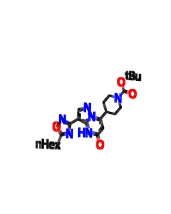 CCCCCCc1nc(-c2cnn3c(C4CCN(C(=O)OC(C)(C)C)CC4)cc(=O)[nH]c23)no1